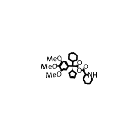 COc1cc([C@@](C(=O)OC(=O)C2CCCCN2)(C2CC=CC2)C2CCCCC2)cc(OC)c1OC